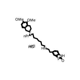 CCCN(CCCCCCCNCCc1ccc2[nH]c(=O)sc2c1)[C@H]1CCc2c(ccc(OC)c2OC)C1.Cl.Cl